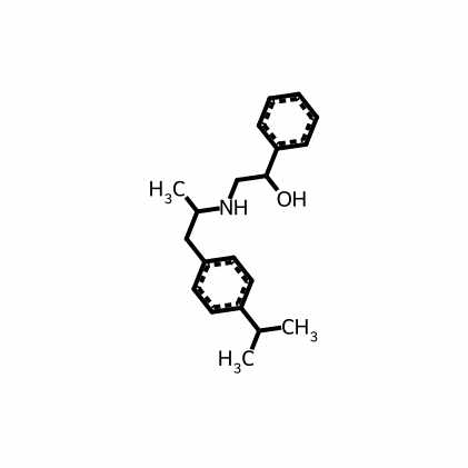 CC(Cc1ccc(C(C)C)cc1)NCC(O)c1ccccc1